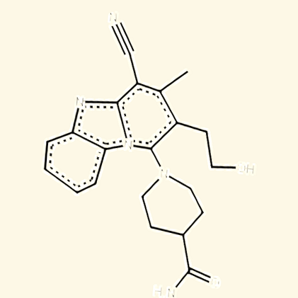 Cc1c(CCO)c(N2CCC(C(N)=O)CC2)n2c(nc3ccccc32)c1C#N